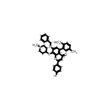 Cc1ccc(S(=O)(=O)O)c(-c2cc(OCc3ccccc3)c(OC3CCN(C)CC3)c3oc(-c4ccc(F)cc4)cc(=O)c23)c1